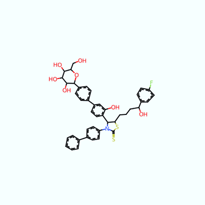 OCC1OC(c2ccc(-c3ccc(C4C(CCCC(O)c5ccc(F)cc5)SC(=S)N4c4ccc(-c5ccccc5)cc4)c(O)c3)cc2)C(O)C(O)C1O